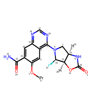 CC(C)Oc1cc2c(N3C[C@H]4NC(=O)O[C@H]4[C@H]3F)ncnc2cc1C(N)=O